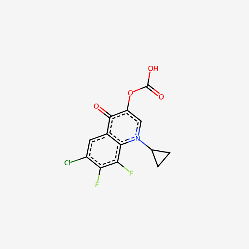 O=C(O)Oc1cn(C2CC2)c2c(F)c(F)c(Cl)cc2c1=O